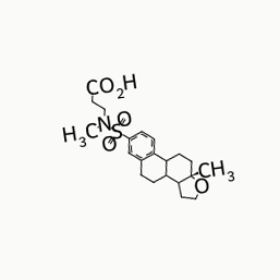 CN(CCC(=O)O)S(=O)(=O)c1ccc2c(c1)CCC1C2CC[C@]2(C)OCCC12